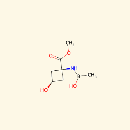 COC(=O)[C@]1(NB(C)O)C[C@@H](O)C1